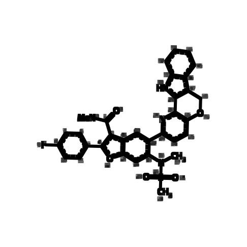 CNC(=O)c1c(-c2ccc(F)cc2)oc2cc(N(C)S(C)(=O)=O)c(-c3ccc4c(n3)-c3[nH]c5ccccc5c3CO4)cc12